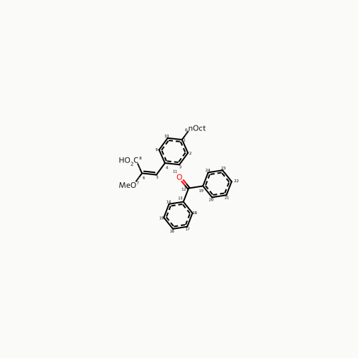 CCCCCCCCc1ccc(C=C(OC)C(=O)O)cc1.O=C(c1ccccc1)c1ccccc1